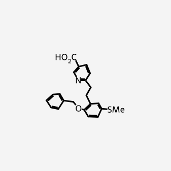 CSc1ccc(OCc2ccccc2)c(CCc2ccc(C(=O)O)cn2)c1